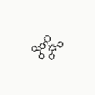 C1=CCc2c(n(-c3nc(C4=CCCC=C4)nc(-c4ccccc4)n3)c3cc4c(cc23)c2ccccc2n4-c2ccccc2)C=C1